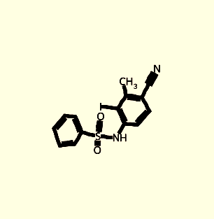 Cc1c(C#N)ccc(NS(=O)(=O)c2ccccc2)c1I